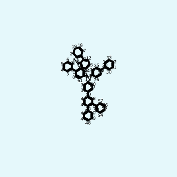 c1c(-c2ccccc2-n2c3c(c4ccccc42)C=CCC3)ccc(N(c2ccc(-c3ccccc3)cc2)c2ccc(-c3ccc(-c4ccccc4)c(-c4ccccc4)c3)cc2)c#1